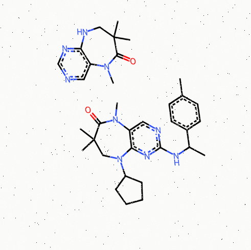 CN1C(=O)C(C)(C)CNc2ncncc21.Cc1ccc(C(C)Nc2ncc3c(n2)N(C2CCCC2)CC(C)(C)C(=O)N3C)cc1